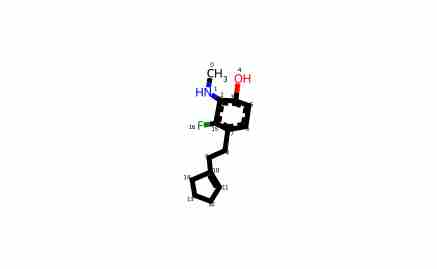 CNc1c(O)ccc(CCC2=CCCC2)c1F